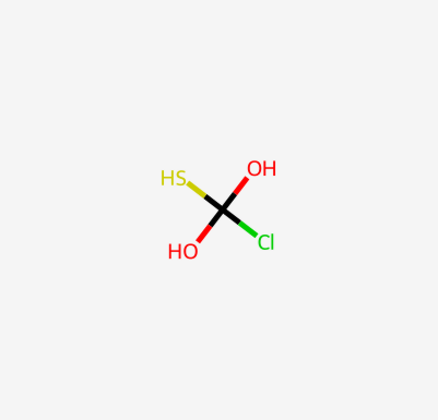 OC(O)(S)Cl